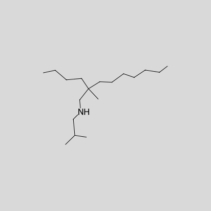 CCCCCCCC(C)(CCCC)CNCC(C)C